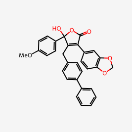 COc1ccc(C2(O)OC(=O)C(c3ccc4c(c3)OCO4)=C2Cc2ccc(-c3ccccc3)cc2)cc1